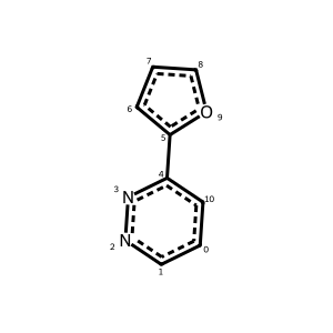 c1cnnc(-c2ccco2)c1